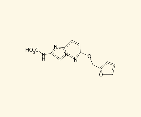 O=C(O)Nc1cn2nc(OCc3ccco3)ccc2n1